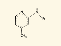 Cc1ccnc(NC(C)C)c1